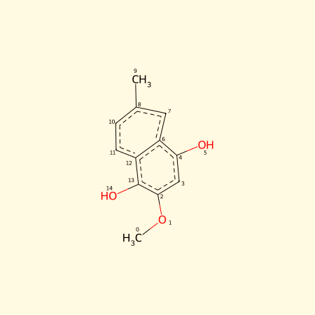 COc1cc(O)c2cc(C)ccc2c1O